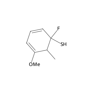 COC1=CC=CC(F)(S)C1C